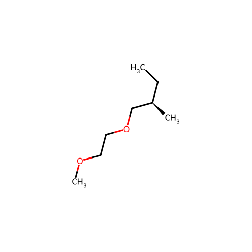 CC[C@@H](C)COCCOC